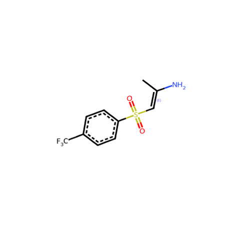 C/C(N)=C\S(=O)(=O)c1ccc(C(F)(F)F)cc1